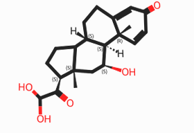 C[C@]12C=CC(=O)C=C1CC[C@H]1C3CC[C@H](C(=O)C(O)O)[C@@]3(C)C[C@H](O)[C@@H]12